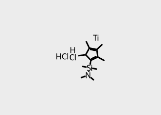 CC1=C(C)C(C)C([Si](C)(C)N(C)C)=C1C.Cl.Cl.[Ti]